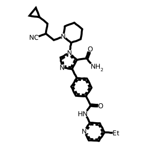 CCc1ccnc(NC(=O)c2ccc(-c3ncn(C4CCCCN4CC(C#N)CC4CC4)c3C(N)=O)cc2)c1